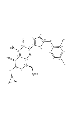 COC[C@H]1CN(CC2CC2)C(=O)c2c(O)c(=O)c(-c3nnc(Cc4ccc(F)cc4F)s3)cn21